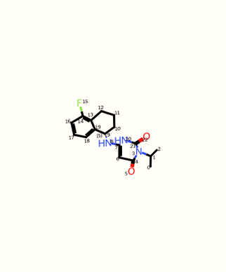 CC(C)n1c(=O)cc(N[C@H]2CCCc3c(F)cccc32)[nH]c1=O